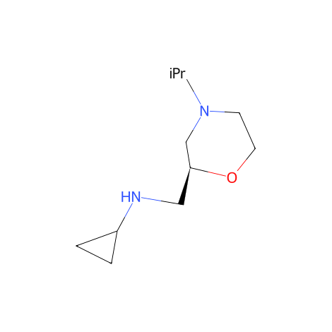 CC(C)N1CCO[C@@H](CNC2CC2)C1